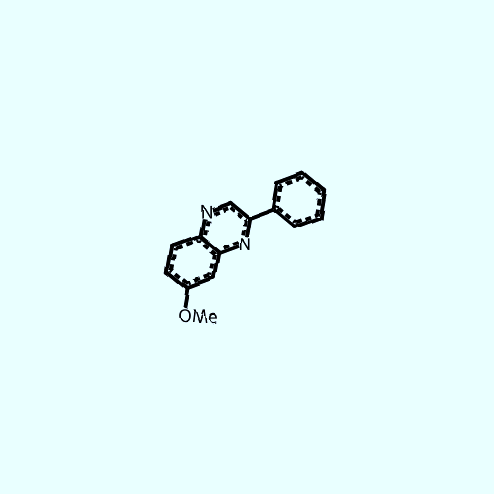 COc1ccc2ncc(-c3ccccc3)nc2c1